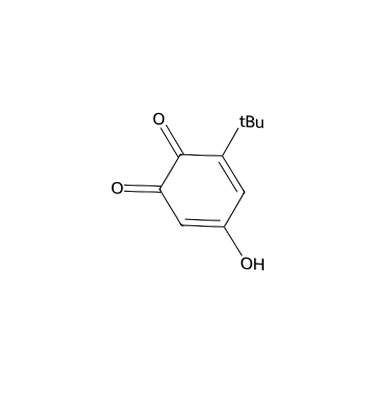 CC(C)(C)C1=CC(O)=CC(=O)C1=O